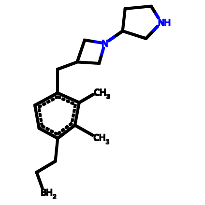 BCCc1ccc(CC2CN(C3CCNC3)C2)c(C)c1C